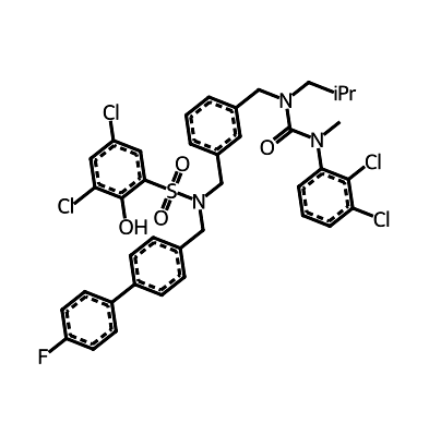 CC(C)CN(Cc1cccc(CN(Cc2ccc(-c3ccc(F)cc3)cc2)S(=O)(=O)c2cc(Cl)cc(Cl)c2O)c1)C(=O)N(C)c1cccc(Cl)c1Cl